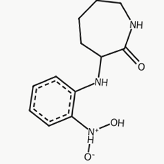 O=C1NCCCCC1Nc1ccccc1[NH+]([O-])O